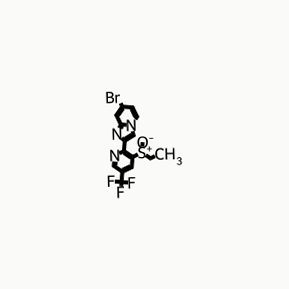 CC[S+]([O-])c1cc(C(F)(F)F)cnc1-c1cn2ccc(Br)cc2n1